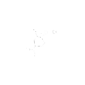 CCOC(=O)N1CCC([S+]([O-])C(C)(C)C)CC1N